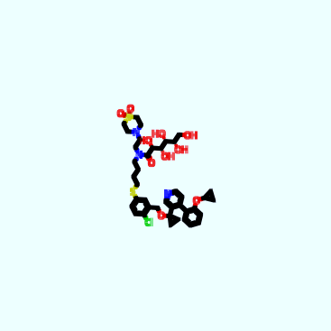 O=C([C@@H](O)[C@@H](O)[C@H](O)[C@@H](O)CO)N(CCCCSc1ccc(Cl)c(COC2(c3cnccc3-c3ccccc3OC3CC3)CC2)c1)CCN1CCS(=O)(=O)CC1